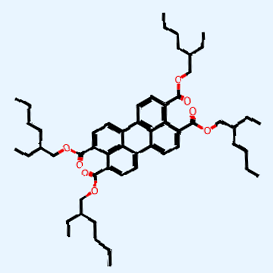 CCCCC(CC)COC(=O)c1ccc2c3ccc(C(=O)OCC(CC)CCCC)c4c(C(=O)OCC(CC)CCCC)ccc(c5ccc(C(=O)OCC(CC)CCCC)c1c25)c43